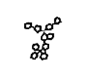 c1ccc(-c2ccc(N(c3ccc(-c4ccccc4)cc3)c3ccc(-c4ccc5c(c4)C(c4ccccc4)(c4ccccc4)c4ccccc4-5)c4ccccc34)cc2)cc1